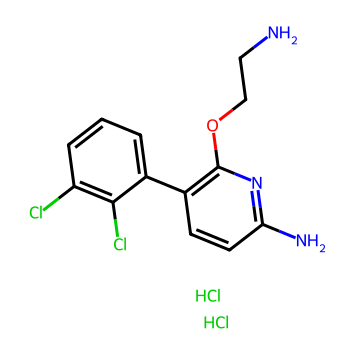 Cl.Cl.NCCOc1nc(N)ccc1-c1cccc(Cl)c1Cl